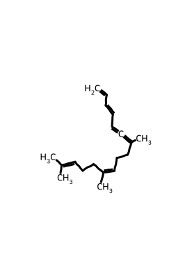 C=CC=CC=C=C(C)CCC=C(C)CCC=C(C)C